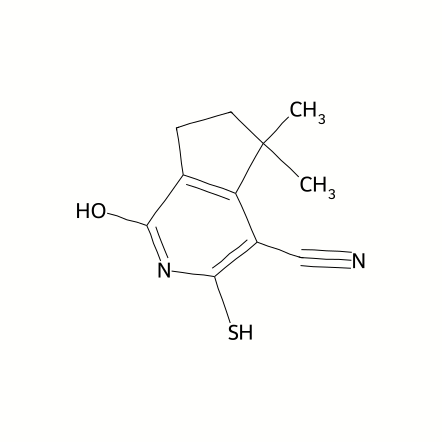 CC1(C)CCc2c(O)nc(S)c(C#N)c21